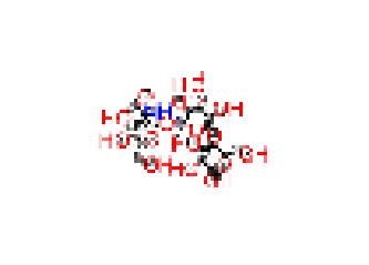 CC(=O)[C@]1(N)C(OC[C@H]2O[C@@H](O[C@H]3[C@H](O)[C@@H](O)[C@@H](O)O[C@@H]3CO)[C@H](O)[C@@H](O)[C@H]2O)O[C@H](CO)[C@@H](O)[C@@H]1O